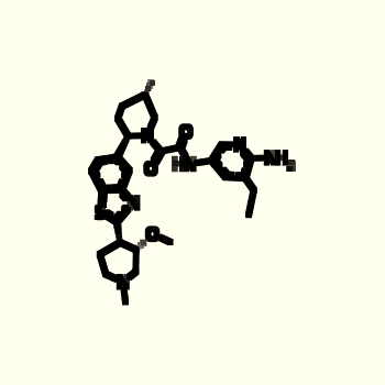 CCc1cc(NC(=O)C(=O)N2C[C@@H](C)CC[C@@H]2c2ccc3sc([C@@H]4CCN(C)C[C@H]4OC)nc3c2)cnc1N